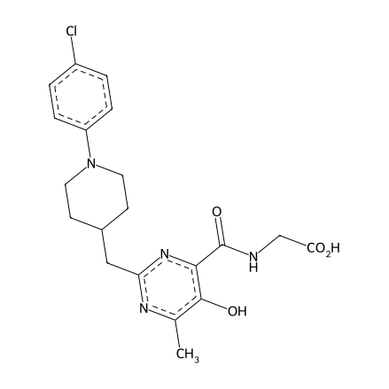 Cc1nc(CC2CCN(c3ccc(Cl)cc3)CC2)nc(C(=O)NCC(=O)O)c1O